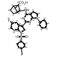 Cc1ccc(S(=O)(=O)n2cc(-c3nc(NC4C5CCC(CC5)C4C(=O)O)c4ccn(-c5ccccc5)c4n3)c3cc(F)cnc32)cc1